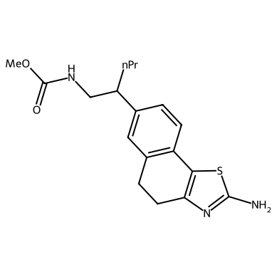 CCCC(CNC(=O)OC)c1ccc2c(c1)CCc1nc(N)sc1-2